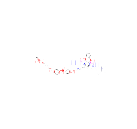 C=CC(=O)OCCCCCCOc1ccc(OC(=O)c2ccc(OCCCCCCc3c(N)c4c(c(N)c3C(=O)O)C(=O)c3ccccc3C4=O)cc2)cc1